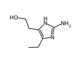 CCc1nc(N)[nH]c1CCO